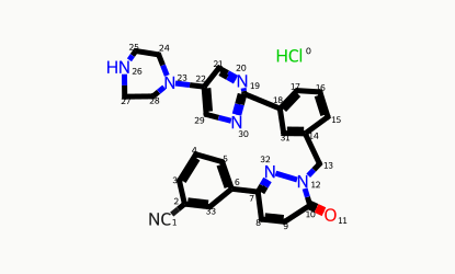 Cl.N#Cc1cccc(-c2ccc(=O)n(Cc3cccc(-c4ncc(N5CCNCC5)cn4)c3)n2)c1